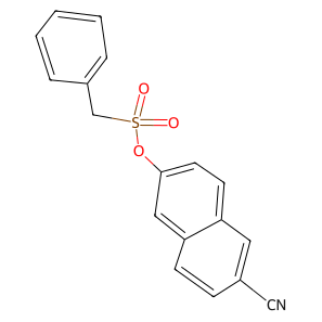 N#Cc1ccc2cc(OS(=O)(=O)Cc3ccccc3)ccc2c1